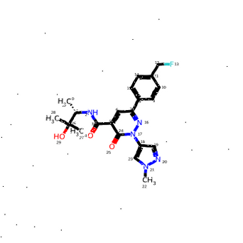 C[C@H](NC(=O)c1cc(-c2ccc(CF)cc2)nn(-c2cnn(C)c2)c1=O)C(C)(C)O